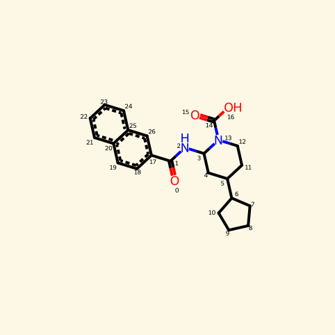 O=C(NC1CC(C2CCCC2)CCN1C(=O)O)c1ccc2ccccc2c1